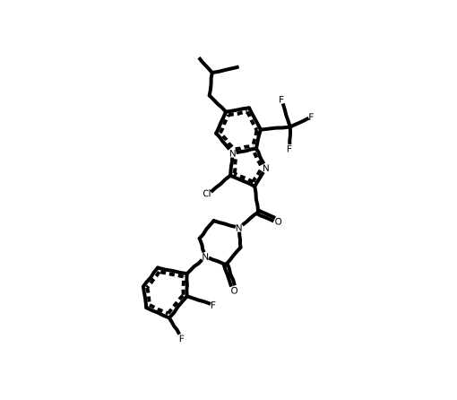 CC(C)Cc1cc(C(F)(F)F)c2nc(C(=O)N3CCN(c4cccc(F)c4F)C(=O)C3)c(Cl)n2c1